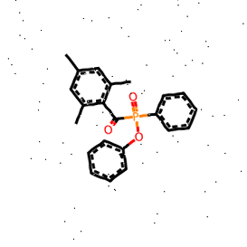 Cc1cc(C)c(C(=O)P(=O)(Oc2ccccc2)c2ccccc2)c(C)c1